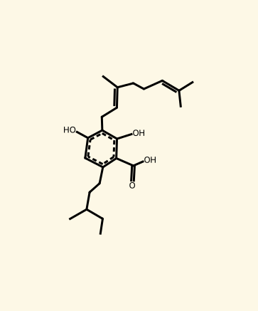 CCC(C)CCc1cc(O)c(C/C=C(\C)CCC=C(C)C)c(O)c1C(=O)O